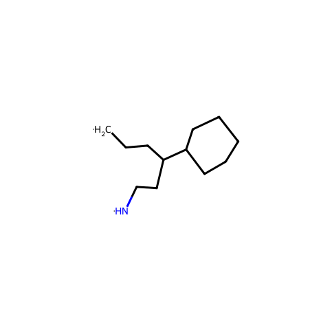 [CH2]CCC(CC[NH])C1CCCCC1